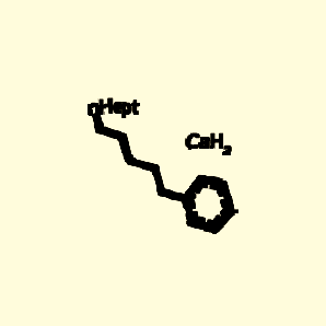 CCCCCCCCCCCCc1cc[c]cc1.[CaH2]